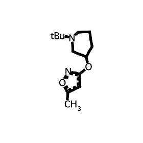 Cc1cc(OC2CCCN(C(C)(C)C)C2)no1